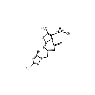 Cc1sc2nc(Cn3nc(C(F)(F)F)cc3Br)cc(=O)n2c1[C@H]1C[C@H]1C#N